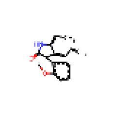 C=C/C=C1\C(=C/C)NC(=O)[C@@]12COc1ccccc12